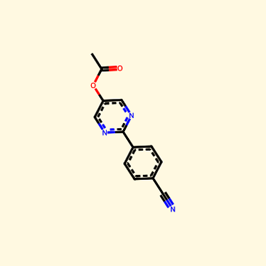 CC(=O)Oc1cnc(-c2ccc(C#N)cc2)nc1